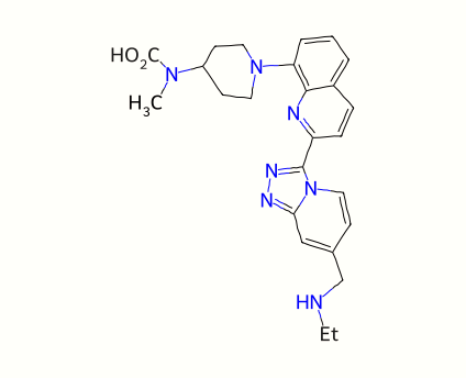 CCNCc1ccn2c(-c3ccc4cccc(N5CCC(N(C)C(=O)O)CC5)c4n3)nnc2c1